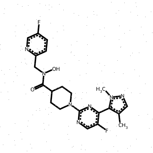 Cc1cnn(C)c1-c1nc(N2CCC(C(=O)N(O)Cc3ccc(F)cn3)CC2)ncc1F